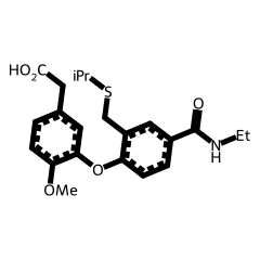 CCNC(=O)c1ccc(Oc2cc(CC(=O)O)ccc2OC)c(CSC(C)C)c1